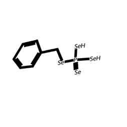 [Se]=P([SeH])([SeH])[Se]Cc1ccccc1